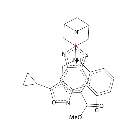 COC(=O)c1ccc2nc(N3C4CC(NCc5c(-c6c(Cl)cccc6Cl)noc5C5CC5)CC3C4)sc2c1